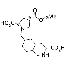 CSOC(=O)[C@H]1C[C@@H](C(=O)O)N(CC2CCC3CNC(C(=O)O)CC3C2)C1